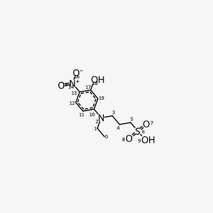 CCN(CCCS(=O)(=O)O)c1ccc([N+](=O)[O-])c(O)c1